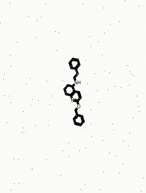 c1ccc(CCNC2CCCc3nc(OCc4ccccc4)ccc32)cc1